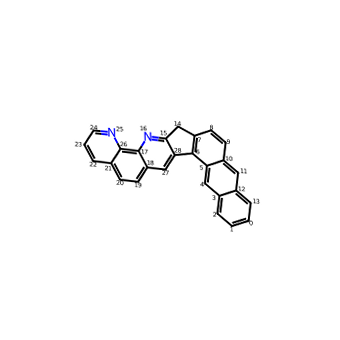 c1ccc2cc3c4c(ccc3cc2c1)Cc1nc2c(ccc3cccnc32)cc1-4